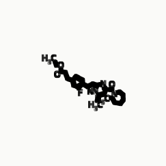 CCOC(=O)CCc1ccc(-c2cc3nc(C(=O)N4CCCCCC4C)cc(CC)n3n2)c(F)c1